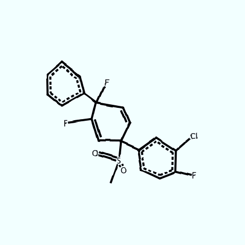 CS(=O)(=O)C1(c2ccc(F)c(Cl)c2)C=CC(F)(c2ccccc2)C(F)=C1